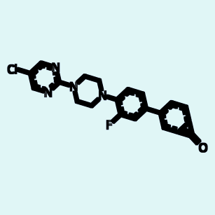 O=c1c2ccc(-c3ccc(N4CCN(c5ncc(Cl)cn5)CC4)c(F)c3)cc12